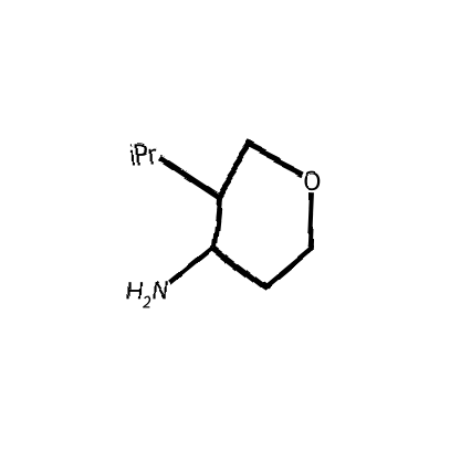 CC(C)C1COCCC1N